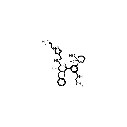 C=CCn1cc(CNC[C@@H](O)[C@H](Cc2ccccc2)NC(=O)c2cc(NCC)cc(N3CCCCS3(O)O)c2)cn1